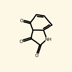 O=C1NC2=CC=CC(=O)C2C1=O